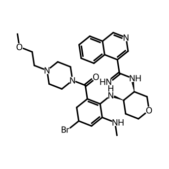 CNC1=CC(Br)CC(C(=O)N2CCN(CCOC)CC2)=C1N[C@@H]1CCOC[C@@H]1NC(=N)c1cncc2ccccc12